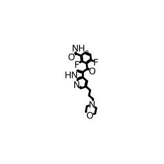 NC(=O)c1ccc(F)c(C(=O)c2c[nH]c3ncc(CCCN4CCOCC4)cc23)c1F